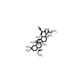 CNC(=O)[C@]1(C)C(=O)C(C#N)=C[C@]2(C)/C(=C/C(C)=O)[C@](C)([C@]3(C)CC[C@@]4(C(=O)OC)CCC(C)(C)CC4C3)CC[C@@H]12